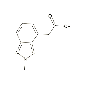 Cn1cc2c(CC(=O)O)cccc2n1